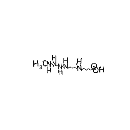 CCNCCNCCNCCNCCCCCNCCCCCC(=O)O